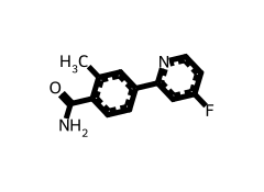 Cc1cc(-c2cc(F)ccn2)ccc1C(N)=O